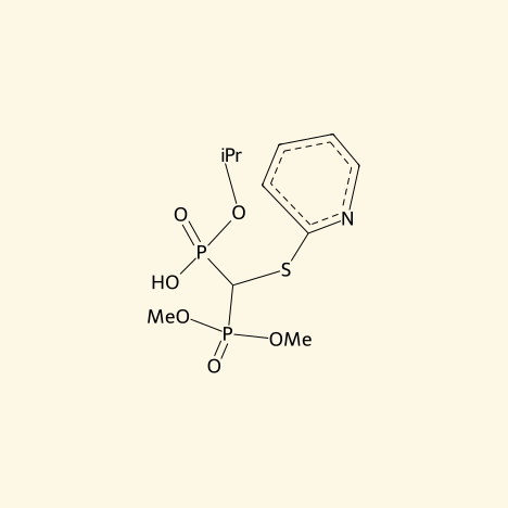 COP(=O)(OC)C(Sc1ccccn1)P(=O)(O)OC(C)C